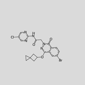 O=C(Cn1nc(OC2CC3(CC3)C2)c2cc(Br)ccc2c1=O)Nc1ncc(Cl)cn1